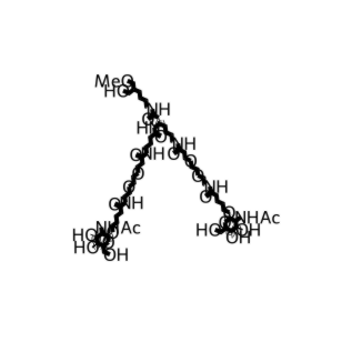 COCC(CO)CCCCNC(=O)C[C@H](CCCCNC(=O)CCOCCOCCNC(=O)CCCCO[C@@H]1OC(CO)[C@@H](O)[C@H](O)C1NC(C)=O)NC(=O)CCCNC(=O)CCOCCOCCNC(=O)CCCCO[C@@H]1OC(CO)[C@@H](O)[C@H](O)C1NC(C)=O